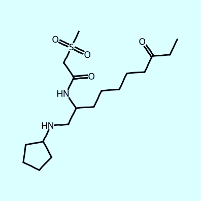 CCC(=O)CCCCCC(CNC1CCCC1)NC(=O)CS(C)(=O)=O